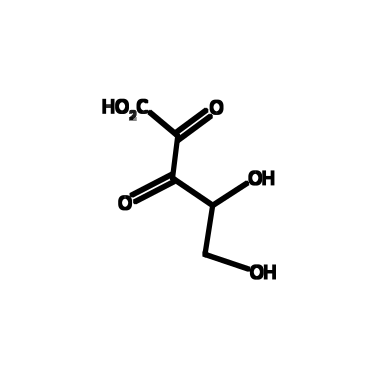 O=C(O)C(=O)C(=O)C(O)CO